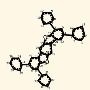 c1ccc(-c2cc(-c3ccccc3)c3oc4cc5c(cc4c3c2)oc2c(-c3ccccc3)cc(-c3ccccc3)cc25)cc1